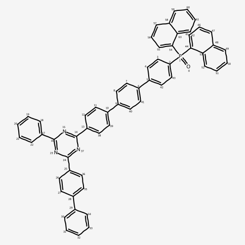 O=P(c1ccc(-c2ccc(-c3ccc(-c4nc(-c5ccccc5)nc(-c5ccc(-c6ccccc6)cc5)n4)cc3)cc2)cc1)(c1cccc2ccccc12)c1cccc2ccccc12